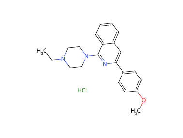 CCN1CCN(c2nc(-c3ccc(OC)cc3)cc3ccccc23)CC1.Cl